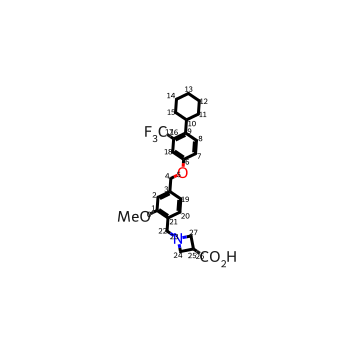 COc1cc(COc2ccc(C3CCCCC3)c(C(F)(F)F)c2)ccc1CN1CC(C(=O)O)C1